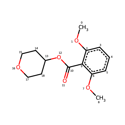 COc1cccc(OC)c1C(=O)OC1CCOCC1